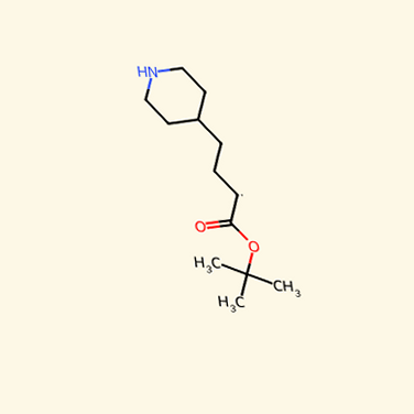 CC(C)(C)OC(=O)[CH]CCC1CCNCC1